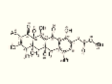 CC(=O)C1=C(O)C(C(C)C)[C@@]2(C)C[C@@]3(C)Cc4c(C(C)C)cc(CC(=O)OC(C)(C)C)c(O)c4C(=O)C3=C(O)[C@@]2(O)C1=O